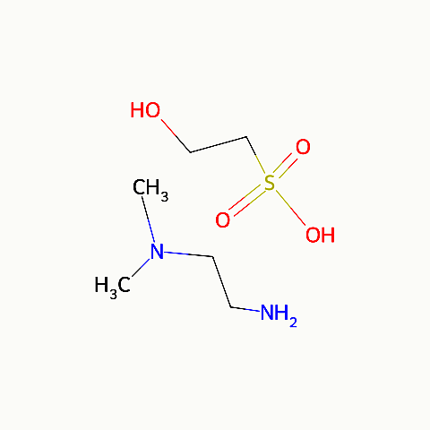 CN(C)CCN.O=S(=O)(O)CCO